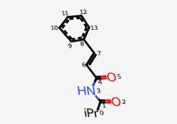 CC(C)C(=O)NC(=O)C=Cc1ccccc1